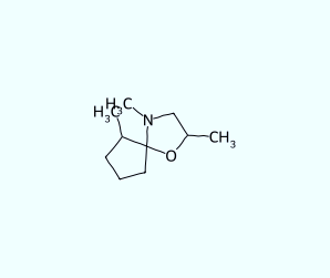 CC1CN(C)C2(CCCC2C)O1